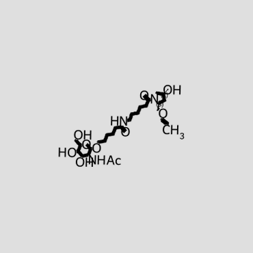 CC=COC[C@@H]1C[C@@H](O)CN1C(=O)CCCCCNC(=O)CCCCCOC1OC(CO)C(O)C(O)C1NC(C)=O